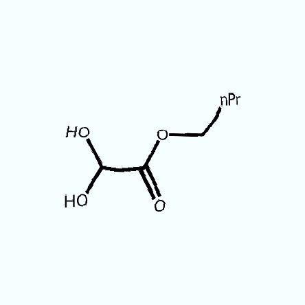 CCCCOC(=O)C(O)O